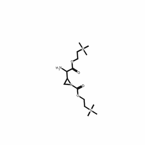 C[Si](C)(C)CCOC(=O)C(N)C1CN1C(=O)OCC[Si](C)(C)C